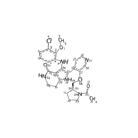 COc1c(Cl)cccc1Nc1c(-c2ccncc2OC[C@@H]2CCCN2C(C)=O)[nH]c2c1C(=O)NCC2